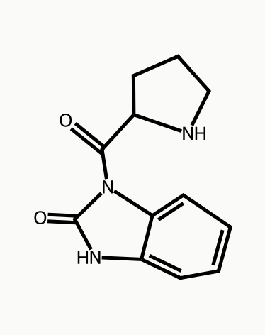 O=C(C1CCCN1)n1c(=O)[nH]c2ccccc21